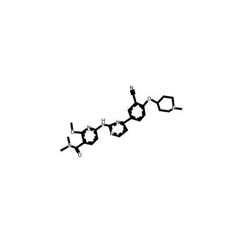 COc1nc(Nc2nccc(-c3ccc(OC4CCN(C)CC4)c(C#N)c3)n2)ccc1C(=O)N(C)C